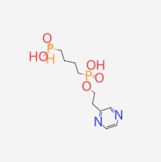 O=[PH](O)CCCCP(=O)(O)OCCc1cnccn1